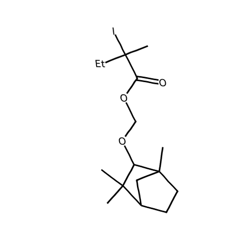 CCC(C)(I)C(=O)OCOC1C2(C)CCC(C2)C1(C)C